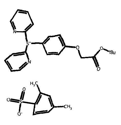 CC(C)(C)OC(=O)COc1ccc([S+](c2ccccn2)c2ccccn2)cc1.Cc1ccc(S(=O)(=O)[O-])c(C)c1